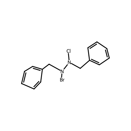 ClN(Cc1ccccc1)N(Br)Cc1ccccc1